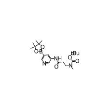 CN(CCC(=O)Nc1cncc(B2OC(C)(C)C(C)(C)O2)c1)C(=O)OC(C)(C)C